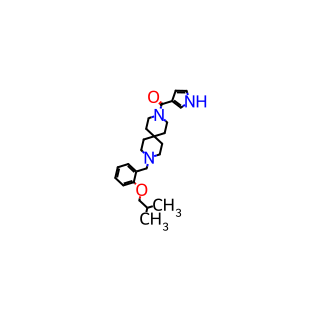 CC(C)COc1ccccc1CN1CCC2(CC1)CCN(C(=O)c1cc[nH]c1)CC2